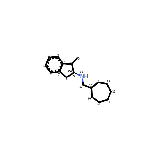 CC1c2ccccc2C[C@@H]1NCC1CCCCCC1